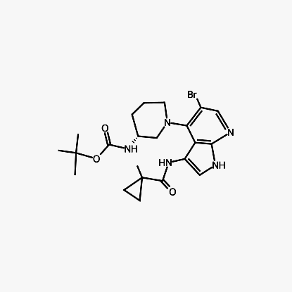 CC(C)(C)OC(=O)N[C@@H]1CCCN(c2c(Br)cnc3[nH]cc(NC(=O)C4(C)CC4)c23)C1